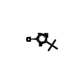 CC(C)(C)c1n[c]c(Cl)s1